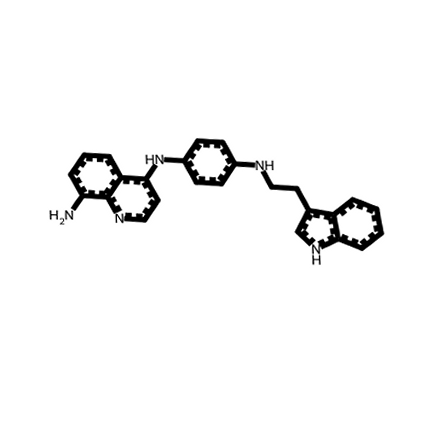 Nc1cccc2c(Nc3ccc(NCCc4c[nH]c5ccccc45)cc3)ccnc12